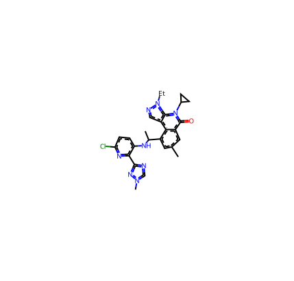 CCn1ncc2c3c(C(C)Nc4ccc(Cl)nc4-c4ncn(C)n4)cc(C)cc3c(=O)n(C3CC3)c21